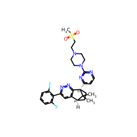 CC1(C)[C@H]2CC[C@]1(c1ccnc(N3CCN(CCS(C)(=O)=O)CC3)n1)c1nnc(-c3c(F)cccc3F)cc12